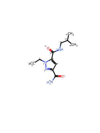 CCn1nc(C(N)=O)[c]c1C(=O)NCC(C)C